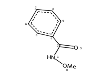 CONC(=O)c1cc[c]cc1